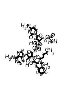 C=CCCC(=O)N(C)[C@@H](Cc1cccnc1)C(=O)OC1[C@@H](O)[C@H](n2cnc3c(N)ncnc32)O[C@@H]1COP(=O)(O)O[C@H]1C[C@H](n2ccc(N)nc2=O)O[C@@H]1CO[PH](=O)O